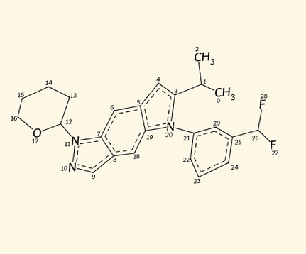 CC(C)c1cc2cc3c(cnn3C3CCCCO3)cc2n1-c1cccc(C(F)F)c1